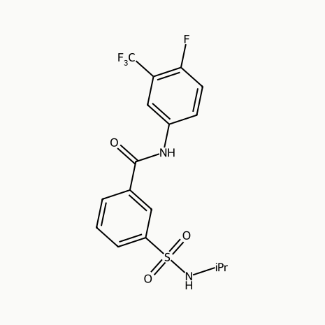 CC(C)NS(=O)(=O)c1cccc(C(=O)Nc2ccc(F)c(C(F)(F)F)c2)c1